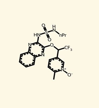 CCCNS(=O)(=O)Nc1nc2ccccc2nc1OC(c1ccc(C)[n+]([O-])c1)C(F)(F)F